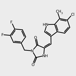 Cc1c(Cl)ccc2c(C=C3NC(=O)N(Cc4ccc(F)c(F)c4)C3=O)c[nH]c12